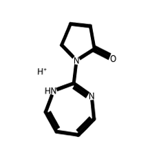 O=C1CCCN1C1=NC=CC=CN1.[H+]